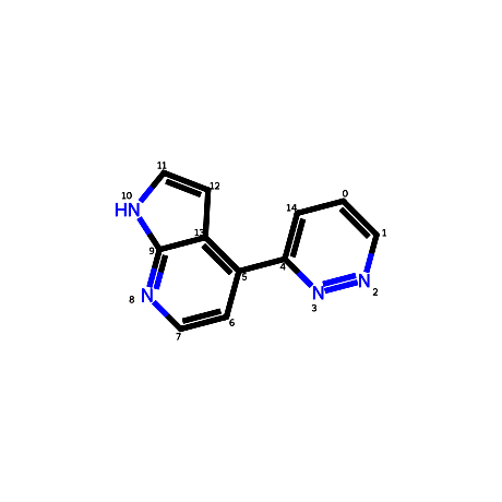 c1cnnc(-c2ccnc3[nH]ccc23)c1